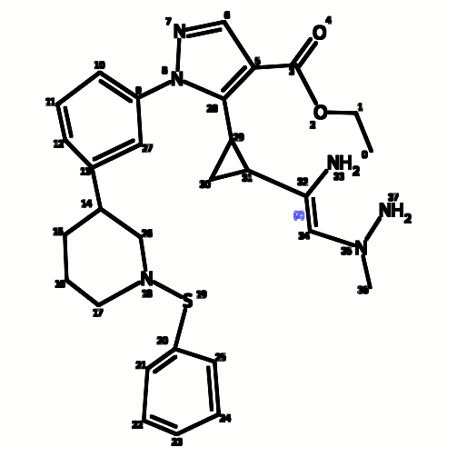 CCOC(=O)c1cnn(-c2cccc(C3CCCN(Sc4ccccc4)C3)c2)c1C1CC1/C(N)=C/N(C)N